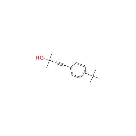 CC(C)(O)C#Cc1ccc(C(C)(C)C)cc1